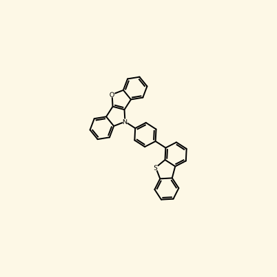 c1ccc2c(c1)oc1c3ccccc3n(-c3ccc(-c4cccc5c4sc4ccccc45)cc3)c21